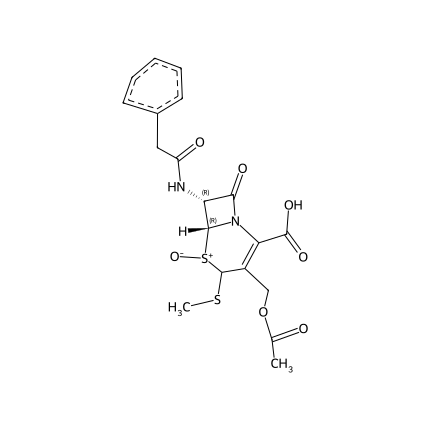 CSC1C(COC(C)=O)=C(C(=O)O)N2C(=O)[C@@H](NC(=O)Cc3ccccc3)[C@H]2[S+]1[O-]